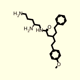 COc1ccc(CCC(CCc2ccccc2)CC(=O)NC[C@@H](N)CCCN)cc1